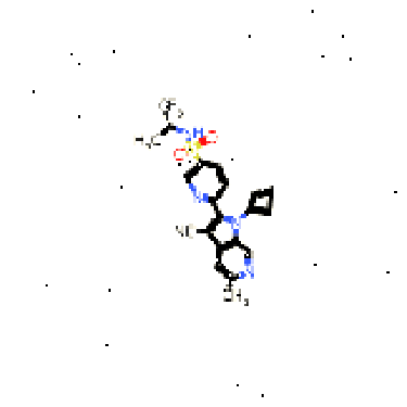 Cc1cc2c(C#N)c(-c3ccc(S(=O)(=O)N[C@@H](C)C(F)(F)F)cn3)n(C3=CC=C3)c2cn1